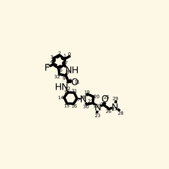 Cc1ccc(F)c2c1NC(C(=O)N[C@@H]1CCC[C@H](N3CCC(N(C)C(=O)CN(C)C)C3)C1)C2